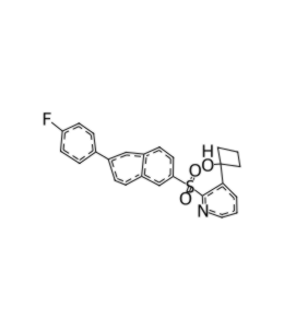 O=S(=O)(c1ccc2cc(-c3ccc(F)cc3)ccc2c1)c1ncccc1C1(O)CCC1